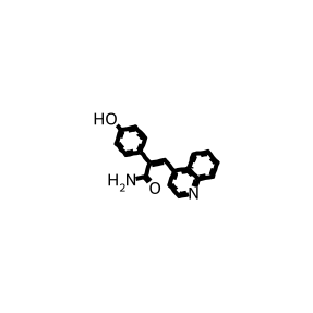 NC(=O)/C(=C\c1ccnc2ccccc12)c1ccc(O)cc1